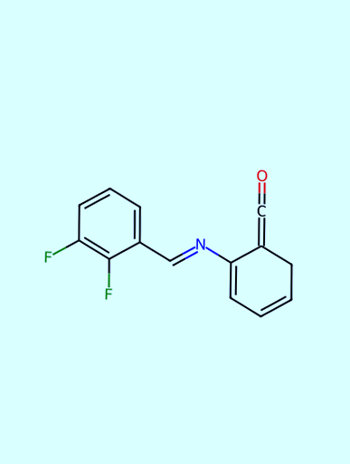 O=C=C1CC=CC=C1N=Cc1cccc(F)c1F